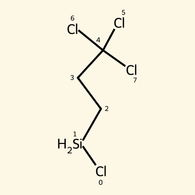 Cl[SiH2]CCC(Cl)(Cl)Cl